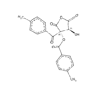 Cc1ccc(C(=O)O[C@]2(C(=O)c3ccc(C)cc3)C(=O)OC(=O)[C@H]2O)cc1